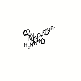 CC(C)N1CCN(C(=O)[C@@H]2CCCN2c2nc(N)n3nc(-c4ccco4)nc3n2)CC1